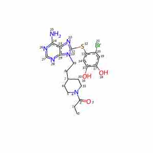 CCC(=O)N1CCC(CCn2c(Sc3cc(O)c(O)cc3Br)nc3c(N)ncnc32)CC1